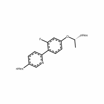 CCCCCCc1ccc(-c2ccc(O[C@@H](C)CCCCCC)cc2F)nc1